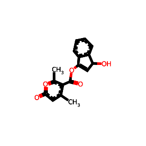 Cc1cc(=O)oc(C)c1C(=O)OC1=CC(O)c2ccccc21